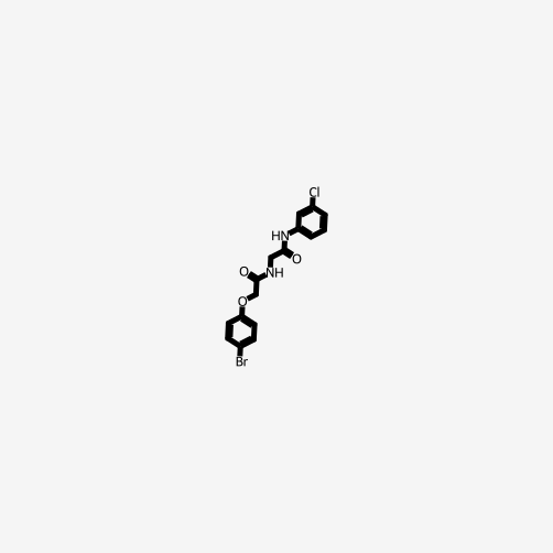 O=C(COc1ccc(Br)cc1)NCC(=O)Nc1cccc(Cl)c1